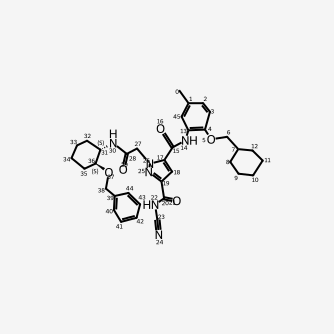 Cc1ccc(OCC2CCCCC2)c(NC(=O)c2cc(C(=O)NC#N)nn2CC(=O)N[C@H]2CCCC[C@@H]2OCc2ccccc2)c1